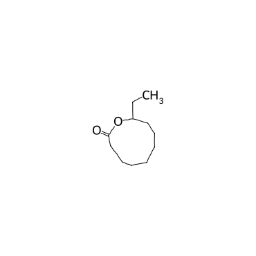 CCC1CCCCCCCC(=O)O1